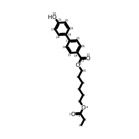 CCC(=O)OCCCCCCOC(=O)c1ccc(-c2ccc(O)cc2)cc1